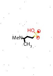 CNC(C)CCS(=O)(=O)O